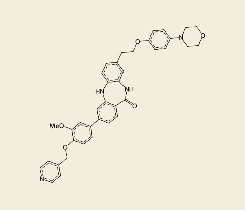 COc1cc(-c2ccc3c(c2)Nc2ccc(CCOc4ccc(N5CCOCC5)cc4)cc2NC3=O)ccc1OCc1ccncc1